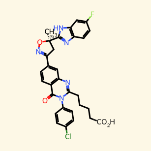 C[C@]1(c2nc3ccc(F)cc3[nH]2)CC(c2ccc3c(=O)n(-c4ccc(Cl)cc4)c(CCCCC(=O)O)nc3c2)=NO1